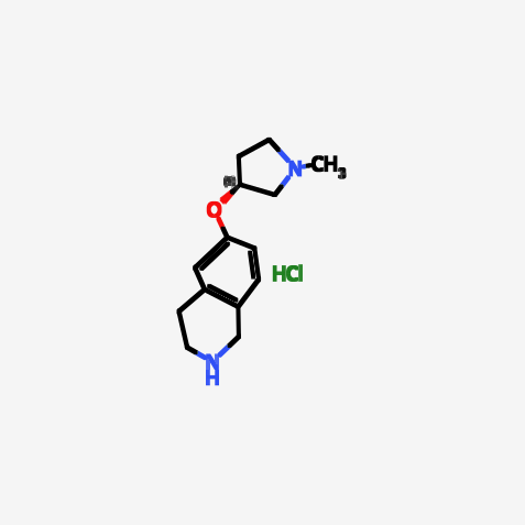 CN1CC[C@H](Oc2ccc3c(c2)CCNC3)C1.Cl